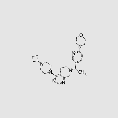 CC(c1ccc(N2CCOCC2)nc1)N1CCc2c(ncnc2N2CCN(C3CCC3)CC2)C1